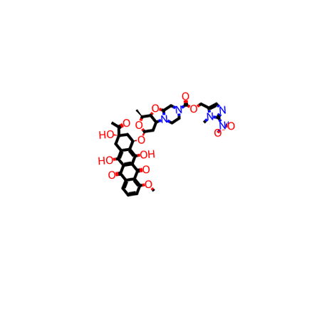 COc1cccc2c1C(=O)c1c(O)c3c(c(O)c1C2=O)C[C@@](O)(C(C)=O)C[C@@H]3O[C@@H]1CC2C(OC3CN(C(=O)OCc4cnc([N+](=O)[O-])n4C)CCN32)[C@H](C)O1